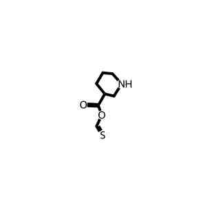 O=C(OC=S)C1CCCNC1